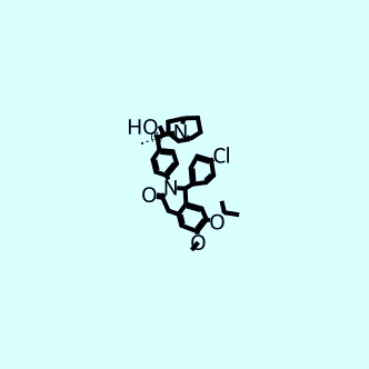 CCN1C2CCC1CC([C@](C)(O)c1ccc(N3C(=O)Cc4cc(OC)c(OC(C)C)cc4C3c3ccc(Cl)cc3)cc1)C2